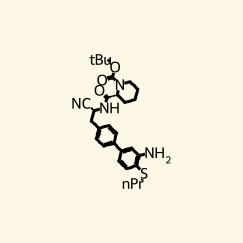 CCCSc1ccc(-c2ccc(C[C@@H](C#N)NC(=O)[C@@H]3CCCCN3C(=O)OC(C)(C)C)cc2)cc1N